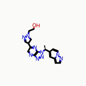 C[C@@H](c1ccn2nccc2c1)n1nnc2ncc(C3C=NN(CCO)C3)nc21